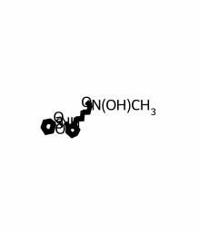 CN(O)C(=O)C=CC=Cc1ccccc1NS(=O)(=O)c1ccccc1